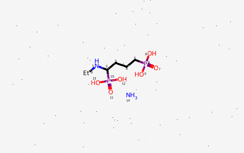 CCNC(CCCP(=O)(O)O)P(=O)(O)O.N